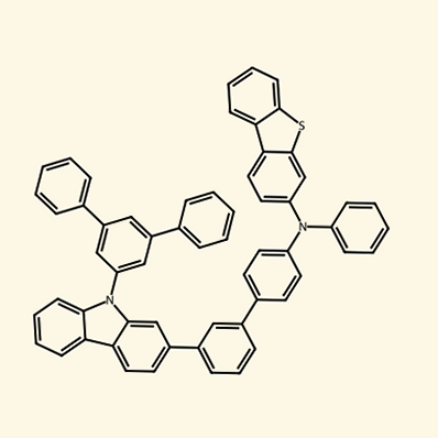 c1ccc(-c2cc(-c3ccccc3)cc(-n3c4ccccc4c4ccc(-c5cccc(-c6ccc(N(c7ccccc7)c7ccc8c(c7)sc7ccccc78)cc6)c5)cc43)c2)cc1